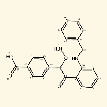 NOC(C(=O)c1ccccc1NCc1ccncc1)c1ccc(C(=O)O)cc1